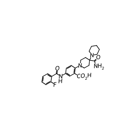 NC(=O)C1(N2CCCCC2)CCN(c2ccc(NC(=O)c3ccccc3F)cc2C(=O)O)CC1